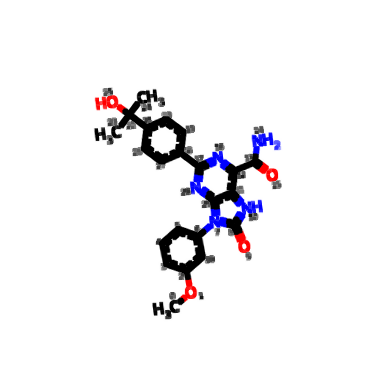 COc1cccc(-n2c(=O)[nH]c3c(C(N)=O)nc(-c4ccc(C(C)(C)O)cc4)nc32)c1